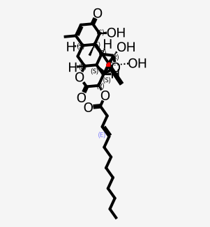 C=C1[C@@H](O)[C@]2(O)OC[C@@]34[C@H]1[C@@H](OC(=O)C/C=C/CCCCCCCC)C(=O)O[C@@H]3C[C@H]1C(C)=CC(=O)[C@@H](O)[C@]1(C)[C@@H]24